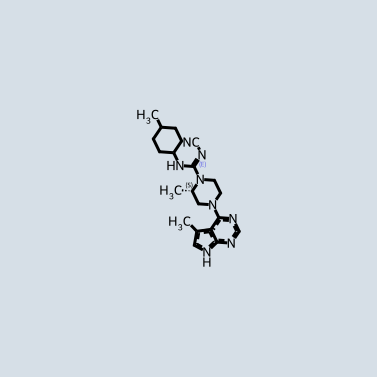 Cc1c[nH]c2ncnc(N3CCN(/C(=N/C#N)NC4CCC(C)CC4)[C@@H](C)C3)c12